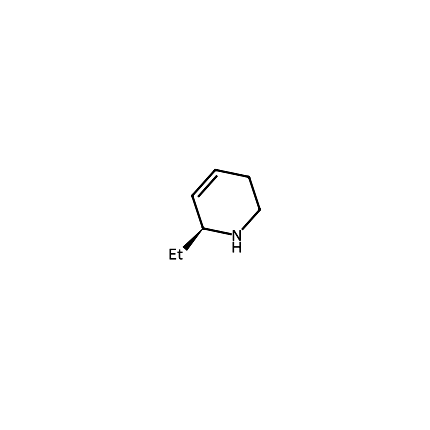 CC[C@H]1C=CCCN1